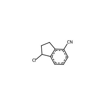 N#Cc1cccc2c1CCC2Cl